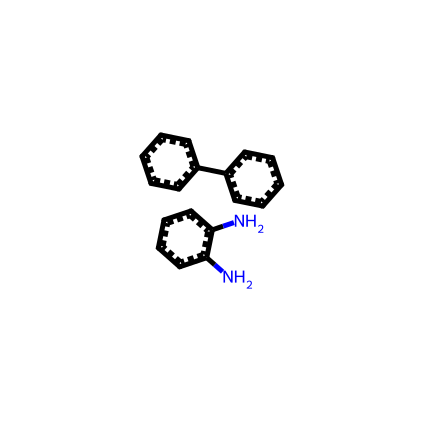 Nc1ccccc1N.c1ccc(-c2ccccc2)cc1